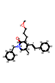 COCCCc1c(/C=C/c2ccccc2)c(C)cn(Cc2ccccc2)c1=O